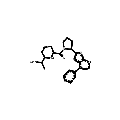 CNC(C)C1CCCC(C(=O)N2CCCC2c2nc3c(-c4ccccc4)ccnc3s2)N1